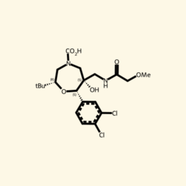 COCC(=O)NC[C@]1(O)CN(C(=O)O)C[C@@H](C(C)(C)C)O[C@H]1c1ccc(Cl)c(Cl)c1